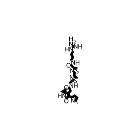 C[C@H]1CCC(C2=C(CC(=O)NCc3nc(-c4nc(C(=O)NCCCCNC(=N)N)cs4)cs3)C3(CC3)NC2=O)=N1